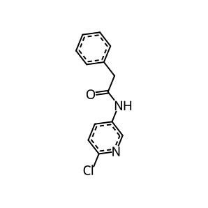 O=C(Cc1ccccc1)Nc1ccc(Cl)nc1